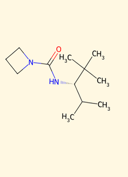 CC(C)[C@H](NC(=O)N1CCC1)C(C)(C)C